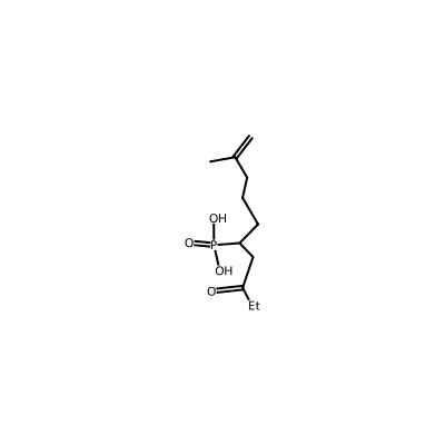 C=C(C)CCCC(CC(=O)CC)P(=O)(O)O